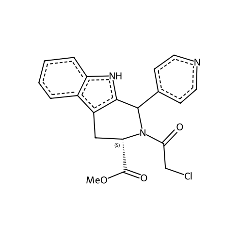 COC(=O)[C@@H]1Cc2c([nH]c3ccccc23)C(c2ccncc2)N1C(=O)CCl